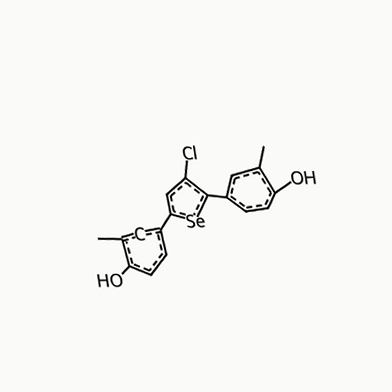 Cc1cc(-c2cc(Cl)c(-c3ccc(O)c(C)c3)[se]2)ccc1O